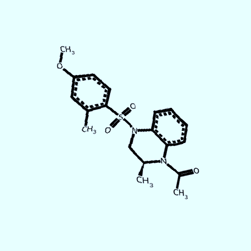 COc1ccc(S(=O)(=O)N2C[C@H](C)N(C(C)=O)c3ccccc32)c(C)c1